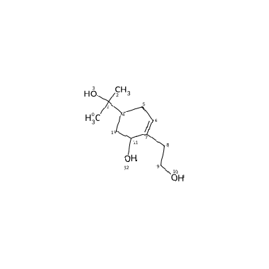 CC(C)(O)C1CC=C(CCO)C(O)C1